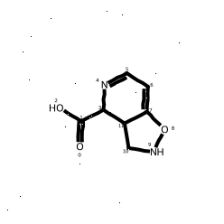 O=C(O)C1N=CC=C2ONCC21